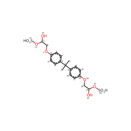 CC(C)(c1ccc(OCC(O)OS(=O)(=O)O)cc1)c1ccc(OCC(O)OS(=O)(=O)O)cc1